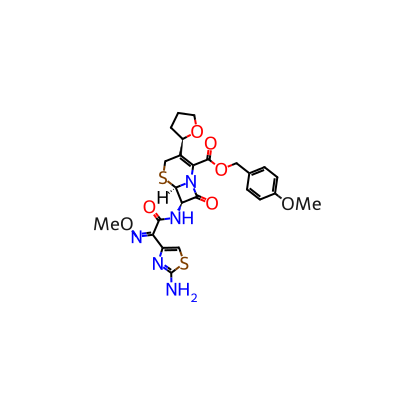 CO/N=C(\C(=O)N[C@@H]1C(=O)N2C(C(=O)OCc3ccc(OC)cc3)=C([C@H]3CCCO3)CS[C@H]12)c1csc(N)n1